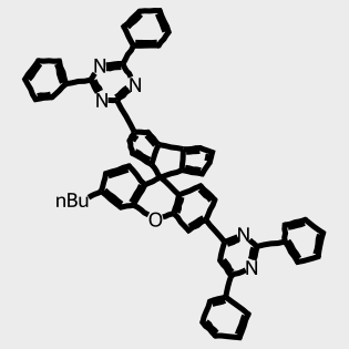 CCCCc1ccc2c(c1)Oc1cc(-c3cc(-c4ccccc4)nc(-c4ccccc4)n3)ccc1C21c2ccccc2-c2cc(-c3nc(-c4ccccc4)nc(-c4ccccc4)n3)ccc21